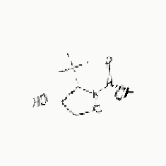 CC(C)(C)[C@H]1C(O)CON1C(=O)O